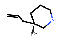 C=CC[C@]1(CCC)CCCNC1